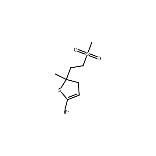 CC(C)C1=CCC(C)(CCS(C)(=O)=O)S1